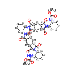 CC(C)(C)OC(=O)NC1CCCC[C@H]1n1c(=O)c2cc3c(=O)n([C@@H]4CCCC[C@H]4n4c(=O)c5cc6c(=O)n(C7CCCC[C@H]7NC(=O)OC(C)(C)C)c(=O)c6cc5c4=O)c(=O)c3cc2c1=O